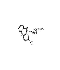 CCCCCNC1=Nc2ccccc2Oc2ccc(Cl)cc21